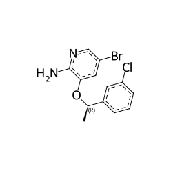 C[C@@H](Oc1cc(Br)cnc1N)c1cccc(Cl)c1